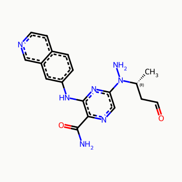 C[C@H](CC=O)N(N)c1cnc(C(N)=O)c(Nc2ccc3ccncc3c2)n1